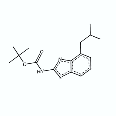 CC(C)Cc1cccc2sc(NC(=O)OC(C)(C)C)nc12